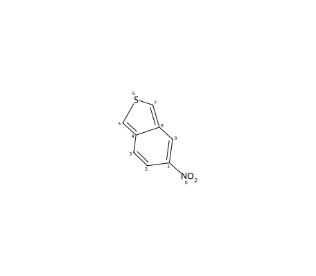 O=[N+]([O-])c1ccc2cscc2c1